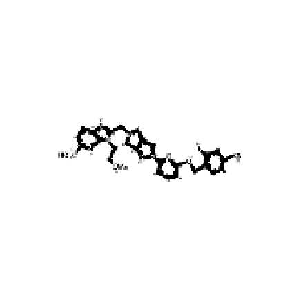 COCCn1c(CN2Cc3cn(-c4cccc(OCc5ccc(C#N)cc5F)n4)nc3C2)nc2ccc(C(=O)O)nc21